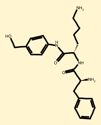 NCCCC[C@H](NC(=O)[C@@H](N)Cc1ccccc1)C(=O)Nc1ccc(CO)cc1